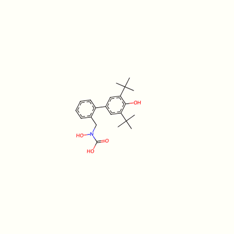 CC(C)(C)c1cc(-c2ccccc2CN(O)C(=O)O)cc(C(C)(C)C)c1O